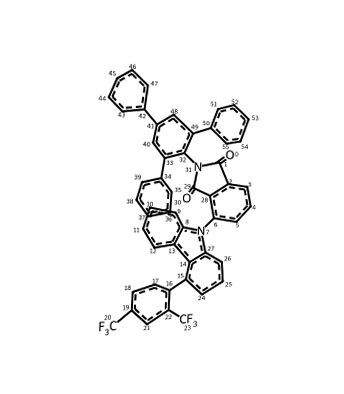 O=C1c2cccc(-n3c4ccccc4c4c(-c5ccc(C(F)(F)F)cc5C(F)(F)F)cccc43)c2C(=O)N1c1c(-c2ccccc2)cc(-c2ccccc2)cc1-c1ccccc1